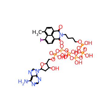 Cc1ccc2c3c(ccc(I)c13)C(=O)N(CCCCOP(=O)(O)OP(=O)(O)OP(=O)(O)OP(=O)(O)OP(=O)(O)OP(=O)(O)OCC1OC(n3cnc4c(N)ncnc43)CC1O)C2=O